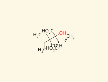 C=CC(C(=O)O)C(O)(C(=O)O)C(C=C)(C=C)C(=O)O